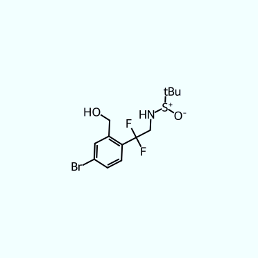 CC(C)(C)[S+]([O-])NCC(F)(F)c1ccc(Br)cc1CO